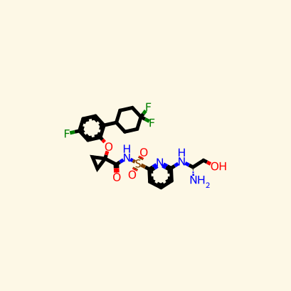 N[C@@H](CO)Nc1cccc(S(=O)(=O)NC(=O)C2(Oc3cc(F)ccc3C3CCC(F)(F)CC3)CC2)n1